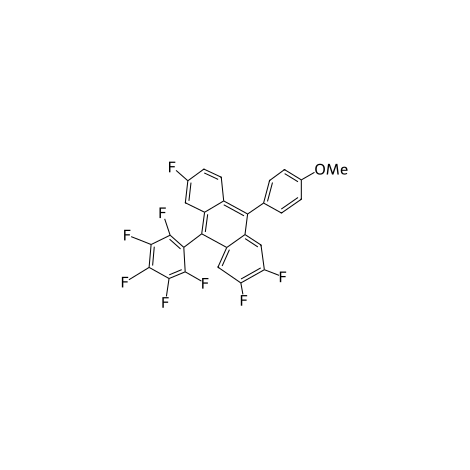 COc1ccc(-c2c3ccc(F)cc3c(-c3c(F)c(F)c(F)c(F)c3F)c3cc(F)c(F)cc23)cc1